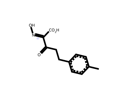 Cc1ccc(CCC(=O)/C(=N/O)C(=O)O)cc1